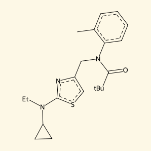 CCN(c1nc(CN(C(=O)C(C)(C)C)c2ccccc2C)cs1)C1CC1